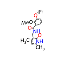 COc1c(OC(C)C)cccc1C(=O)NCc1c(C)cc(C)[nH]c1=O